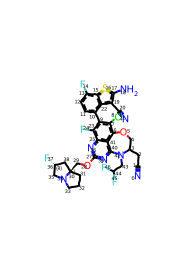 N#CCC1COc2c(Cl)c(-c3ccc(F)c4sc(N)c(C#N)c34)c(F)c3nc(OC[C@@]45CCCN4C[C@H](F)C5)nc(c23)N1CC(F)F